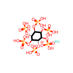 F.O=P(O)(O)O[C@H]1[C@H](OP(=O)(O)O)[C@@H](OP(=O)(O)O)[C@H](OP(=O)(O)O)[C@@H](OP(=O)(O)O)[C@H]1OP(=O)(O)O